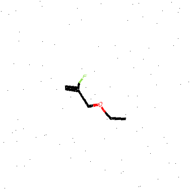 C=C(F)COCC